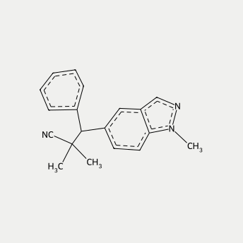 Cn1ncc2cc(C(c3ccccc3)C(C)(C)C#N)ccc21